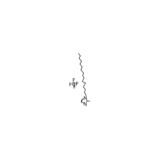 CCCCCCCCCCCCCCCCN1C=CN(C)C1C.F[B-](F)(F)F